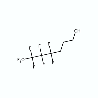 OCCCC(F)(F)C(F)(F)C(F)(F)C(F)(F)F